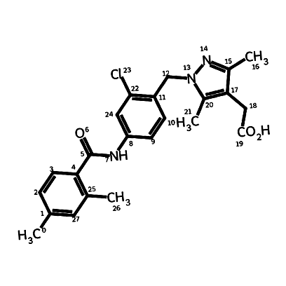 Cc1ccc(C(=O)Nc2ccc(Cn3nc(C)c(CC(=O)O)c3C)c(Cl)c2)c(C)c1